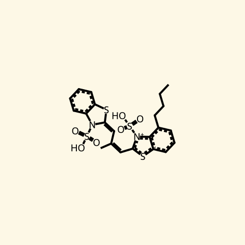 CCCCc1cccc2sc(C=C(C)C=C3Sc4ccccc4N3S(=O)(=O)O)[n+](S(=O)(=O)O)c12